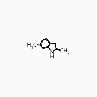 C=C1Cc2ccc(C)cc2N1